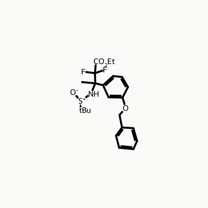 CCOC(=O)C(F)(F)C(C)(N[S@+]([O-])C(C)(C)C)c1cccc(OCc2ccccc2)c1